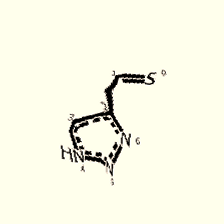 S=Cc1c[nH]nn1